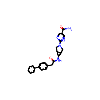 NC(=O)c1cnc(N2CC3C(C2)C3NC(=O)Cc2ccc(-c3ccccc3)cc2)nc1